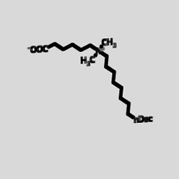 CCCCCCCCCCCCCCCCCC[N+](C)(C)CCCCCC(=O)[O-]